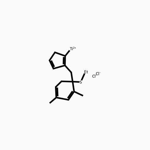 CCSC1(CC2=[C]([Ti+2])CC=C2)CC=C(C)C=C1C.[Cl-].[Cl-]